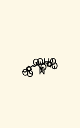 COc1ccc(/C=C/C(=O)/C(CC(=O)N(C)C)=C(O)/C=C/c2ccc(OC)c(OC)c2)cc1OC